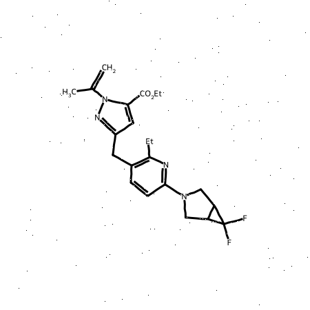 C=C(C)n1nc(Cc2ccc(N3CC4C(C3)C4(F)F)nc2CC)cc1C(=O)OCC